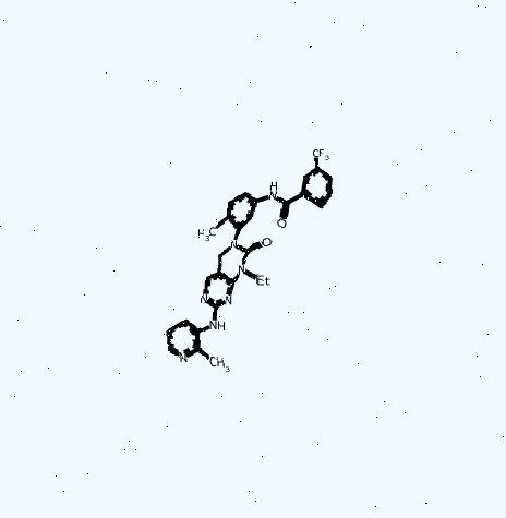 CCN1C(=O)N(c2cc(NC(=O)c3cccc(C(F)(F)F)c3)ccc2C)Cc2cnc(Nc3cccnc3C)nc21